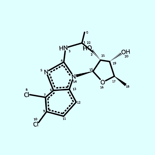 CC(C)Nc1nc2c(Cl)c(Cl)ccc2n1[C@@H]1O[C@H](C)[C@@H](O)[C@H]1O